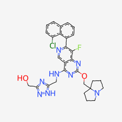 OCc1n[nH]c(CNc2nc(OCC34CCCN3CCC4)nc3c(F)c(-c4cccc5cccc(Cl)c45)ncc23)n1